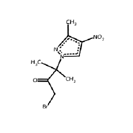 Cc1nn(C(C)(C)C(=O)CBr)cc1[N+](=O)[O-]